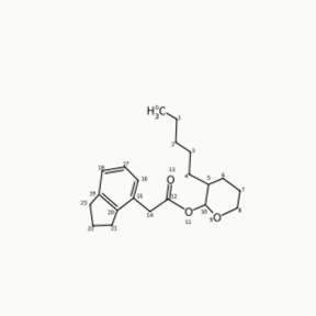 CCCCCC1CCCOC1OC(=O)Cc1cccc2c1CCC2